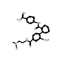 C[S+]([O-])CCNC(=O)c1ccc(-c2ccccc2C(=O)Nc2ccc(C(=N)N)cc2)c(C(=O)O)c1